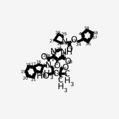 CC(C)(C)C(=O)Oc1c(C(=O)N(CCO)C2Cc3ccccc3C2)nc([C@@H]2CCCN2C(=O)OCc2ccccc2)[nH]c1=O